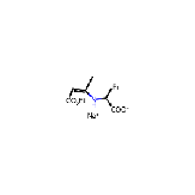 CCOC(=O)C=C(C)N[C@H](C(=O)[O-])C(C)C.[Na+]